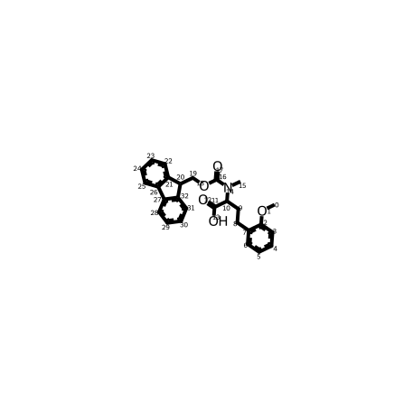 COc1ccccc1CCC(C(=O)O)N(C)C(=O)OCC1c2ccccc2-c2ccccc21